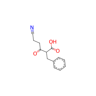 N#CCCC(=O)C(Cc1ccccc1)C(=O)O